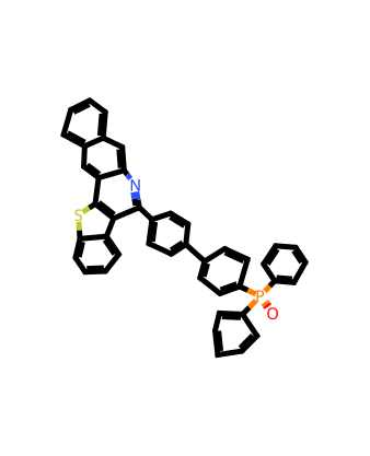 O=P(c1ccccc1)(c1ccccc1)c1ccc(-c2ccc(-c3nc4cc5ccccc5cc4c4sc5ccccc5c34)cc2)cc1